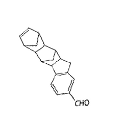 O=Cc1ccc2c(c1)CC1C3CC(C21)C1C2C=CC(C2)C31